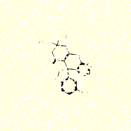 CC[C@@]1(c2cccc(Cl)c2)C2=C(CC(C)(C)CC2=O)Nc2ncsc21